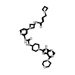 O=C(/C=C/CN1CCC1)NC1CN(c2ccnc(NC(=O)NC3CCN(c4nc5c(N6CCOCC6)ncnc5[nH]4)CC3)c2)C1